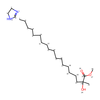 C1=NCCN1.CCCCCCCCCCCCCCCCCC(C)(O)C(=O)OC